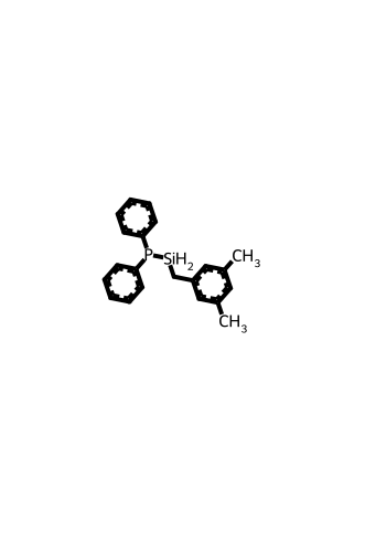 Cc1cc(C)cc(C[SiH2]P(c2ccccc2)c2ccccc2)c1